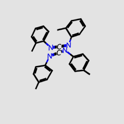 Cc1ccc(N=C=Nc2ccc(C)cc2)cc1.Cc1ccccc1N=C=Nc1ccccc1C